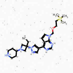 CS(C)(C)CCOCn1ccc2c(-c3cnn(C4(CC#N)CN(C5CCNCC5)C4)c3)ncnc21